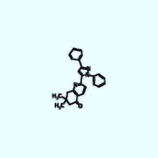 CC1(C)CC(=O)c2ccc(-c3cc(-c4ccccc4)nn3-c3ccccc3)nc2C1